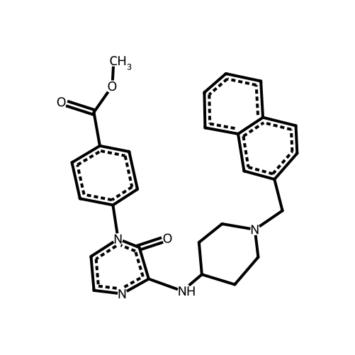 COC(=O)c1ccc(-n2ccnc(NC3CCN(Cc4ccc5ccccc5c4)CC3)c2=O)cc1